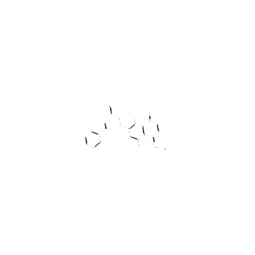 COc1cc(C(CC=C(C)C)OC(=O)c2ccccc2Cl)c(OC)c2c1/C(=N/O)C=C/C2=N\O